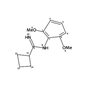 COc1cccc(OC)c1NC(=N)C1CCC1